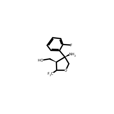 N[C@@]1(c2ccccc2F)COC(C(F)(F)F)[C@H]1CO